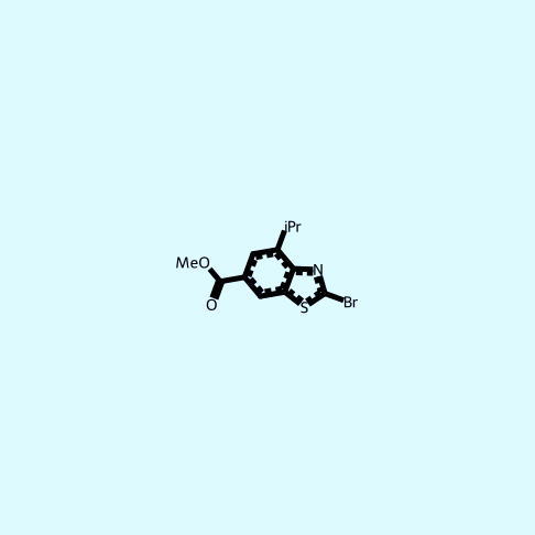 COC(=O)c1cc(C(C)C)c2nc(Br)sc2c1